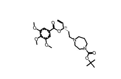 C=C[C@H](CCN1CCCN(C(=O)OC(C)(C)C)CC1)OC(=O)c1cc(OC)c(OC)c(OC)c1